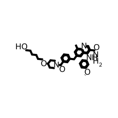 COc1cccc(Nc2c(C(N)=O)cnc3c(C)cc(Cc4cccc(C(=O)N5CCC(OCCCCCCO)CC5)c4)cc23)c1